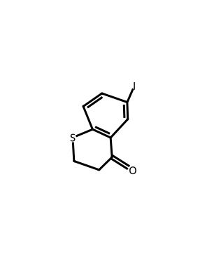 O=C1CCSc2ccc(I)cc21